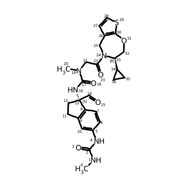 CNC(=O)Nc1ccc2c(c1)CC[C@]2(C=O)NC(=O)N(C)CC(=O)N1Cc2ccsc2OC[C@H]1C1CC1